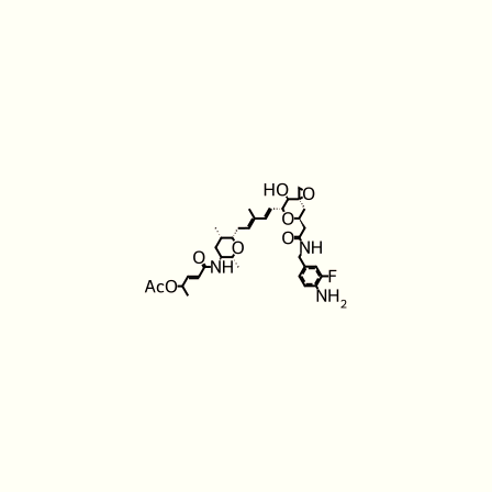 CC(=O)OC(C)C=CC(=O)N[C@@H]1C[C@H](C)[C@H](C/C=C(C)/C=C/[C@H]2O[C@H](CC(=O)NCc3ccc(N)c(F)c3)C[C@@]3(CO3)[C@@H]2O)O[C@@H]1C